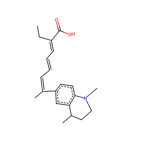 CC\C(=C/C=C/C=C(/C)c1ccc2c(c1)C(C)CCN2C)C(=O)O